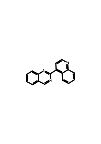 [c]1cc(-c2n[c]c3ccccc3n2)c2ccccc2n1